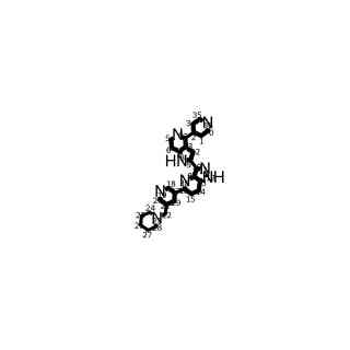 c1cc(-c2nccc3[nH]c(-c4n[nH]c5ccc(-c6cncc(CN7CCCCC7)c6)nc45)cc23)ccn1